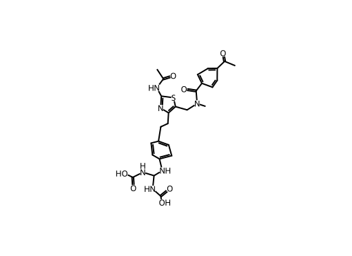 CC(=O)Nc1nc(CCc2ccc(NC(NC(=O)O)NC(=O)O)cc2)c(CN(C)C(=O)c2ccc(C(C)=O)cc2)s1